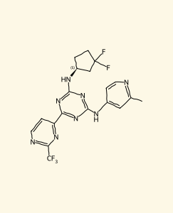 Cc1cc(Nc2nc(N[C@H]3CCC(F)(F)C3)nc(-c3ccnc(C(F)(F)F)n3)n2)ccn1